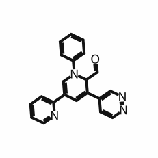 O=CC1C(c2ccnnc2)=CC(c2ccccn2)=CN1c1ccccc1